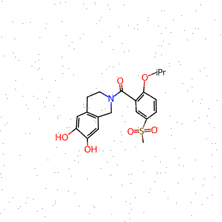 CC(C)Oc1ccc(S(C)(=O)=O)cc1C(=O)N1CCc2cc(O)c(O)cc2C1